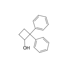 OC1CCC1(c1ccccc1)c1ccccc1